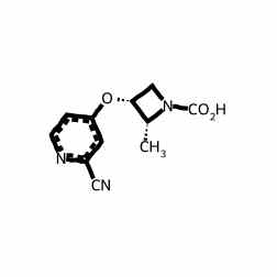 C[C@@H]1[C@H](Oc2ccnc(C#N)c2)CN1C(=O)O